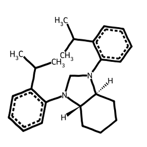 CC(C)c1ccccc1N1CN(c2ccccc2C(C)C)[C@H]2CCCC[C@@H]21